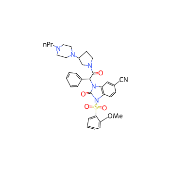 CCCN1CCN(C2CCN(C(=O)C(c3ccccc3)n3c(=O)n(S(=O)(=O)c4ccccc4OC)c4ccc(C#N)cc43)C2)CC1